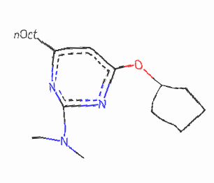 CCCCCCCCc1cc(OC2CCCC2)nc(N(C)C)n1